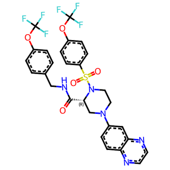 O=C(NCc1ccc(OC(F)(F)F)cc1)[C@H]1CN(c2ccc3nccnc3c2)CCN1S(=O)(=O)c1ccc(OC(F)(F)F)cc1